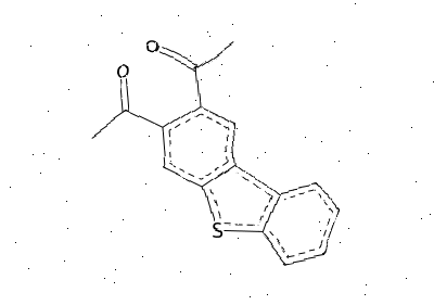 CC(=O)c1cc2sc3ccccc3c2cc1C(C)=O